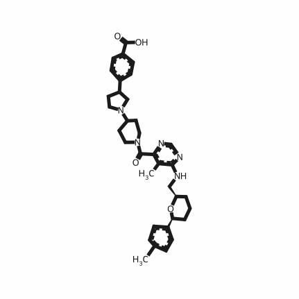 Cc1ccc([C@@H]2CCC[C@H](CNc3ncnc(C(=O)N4CCC(N5CCC(c6ccc(C(=O)O)cc6)C5)CC4)c3C)O2)cc1